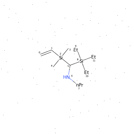 C=C[Si](C)(C)C(NCCC)[Si](CC)(CC)CC